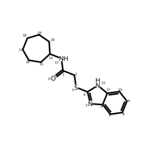 O=C(CSc1nc2ccccc2[nH]1)NC1CCCCCC1